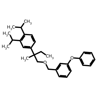 CCC(C)(COCc1cccc(Oc2ccccc2)c1)c1ccc(C(C)C)c(C(C)C)c1